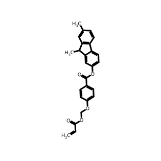 C=CC(=O)OCOc1ccc(C(=O)Oc2ccc3c(c2)C(C)c2cc(C)ccc2-3)cc1